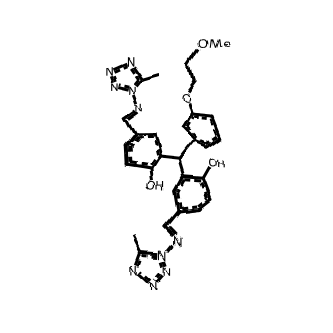 COCCOc1cccc(C(c2cc(C=Nn3nnnc3C)ccc2O)c2cc(C=Nn3nnnc3C)ccc2O)c1